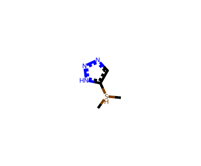 C[SH](C)c1cnn[nH]1